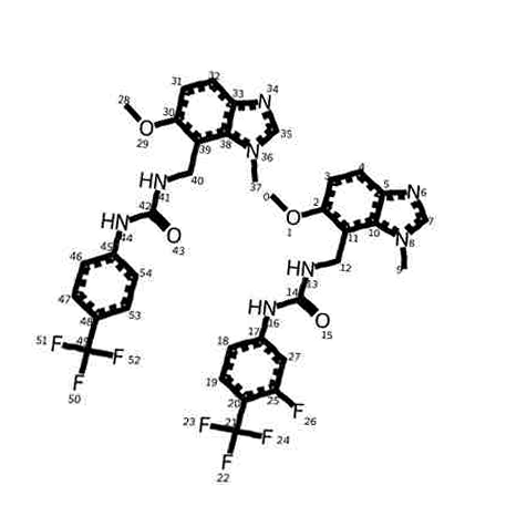 COc1ccc2ncn(C)c2c1CNC(=O)Nc1ccc(C(F)(F)F)c(F)c1.COc1ccc2ncn(C)c2c1CNC(=O)Nc1ccc(C(F)(F)F)cc1